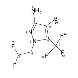 Nc1nn(CC(F)F)c(C(F)(F)F)c1Br